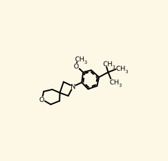 COc1cc(C(C)(C)C)ccc1N1CC2(CCOCC2)C1